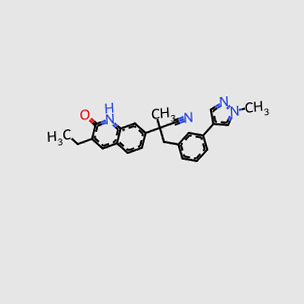 CCc1cc2ccc(C(C)(C#N)Cc3cccc(-c4cnn(C)c4)c3)cc2[nH]c1=O